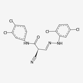 N#C[C@H](/C=N/Nc1cc(Cl)ccc1Cl)C(=O)Nc1ccc(Cl)c(Cl)c1